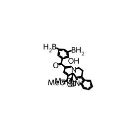 Bc1cc(B)c(O)c(C(=O)C2=CN3CCc4c([nH]c5ccccc45)C3(C(=O)OC)C(C(=O)OC)=C2)c1